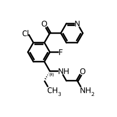 CC[C@@H](NCC(N)=O)c1ccc(Cl)c(C(=O)c2cccnc2)c1F